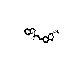 CN1CCc2ccc(C=CC(=O)N3CCc4ccccc43)cc2C1